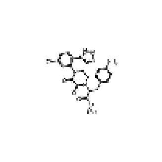 CC(C)(C)OC(=O)C(Cc1ccc(N)cc1)N1CCN(c2cc(Cl)ccc2-n2cnnn2)C(=O)C1=O